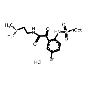 CCCCCCCCS(=O)(=O)Nc1ccc(Br)cc1C(=O)C(=O)NCCN(C)C.Cl